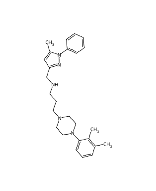 Cc1cccc(N2CCN(CCCNCc3cc(C)n(-c4ccccc4)n3)CC2)c1C